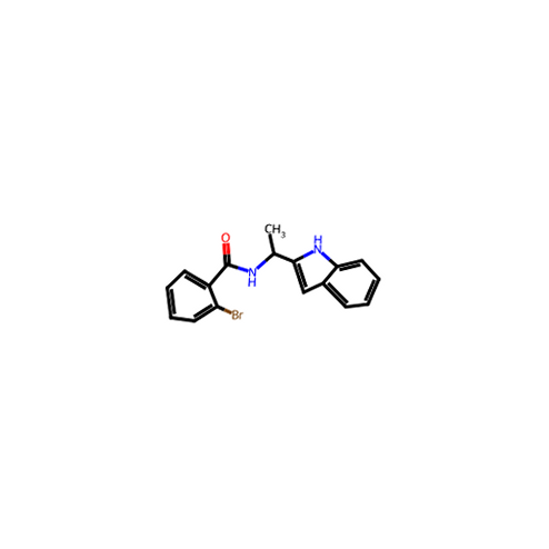 CC(NC(=O)c1ccccc1Br)c1cc2ccccc2[nH]1